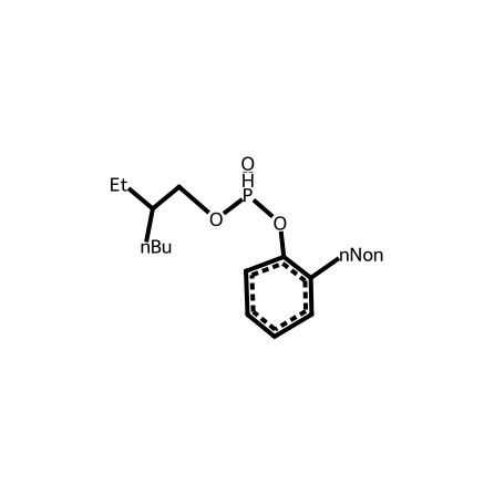 CCCCCCCCCc1ccccc1O[PH](=O)OCC(CC)CCCC